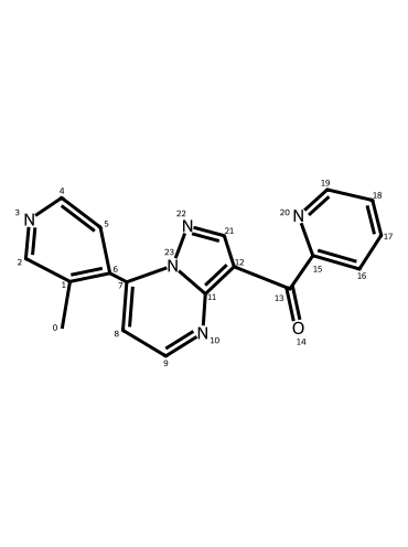 Cc1cnccc1-c1ccnc2c(C(=O)c3ccccn3)cnn12